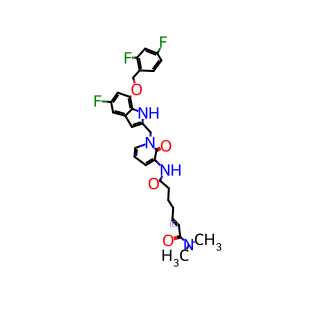 CN(C)C(=O)/C=C/CCCC(=O)Nc1cccn(Cc2cc3cc(F)cc(OCc4ccc(F)cc4F)c3[nH]2)c1=O